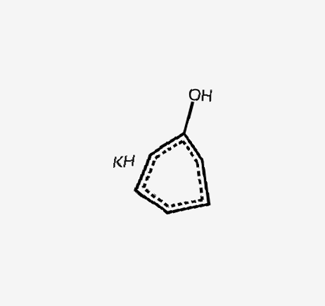 Oc1ccccc1.[KH]